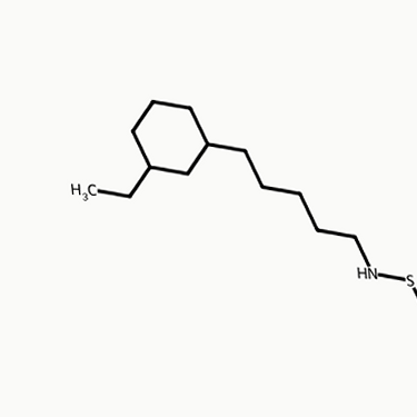 CCC1CCCC(CCCCCNSC)C1